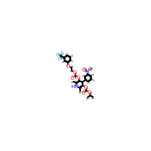 CC1=C(OC(=O)OCCOc2cccc(C(F)(F)F)c2)C(c2cccc([N+](=O)[O-])c2)C(OC(=O)OC(C)C)=C(C)N1